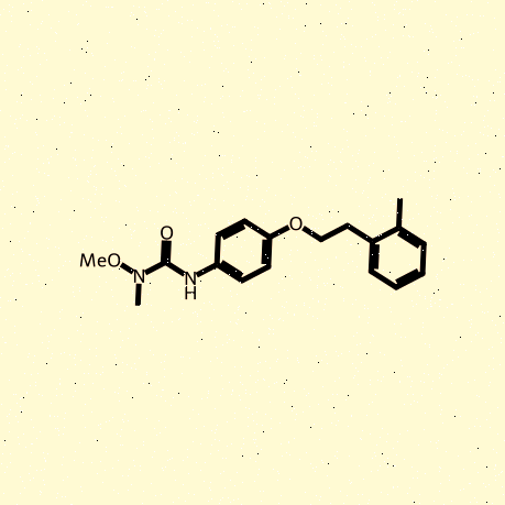 CON(C)C(=O)Nc1ccc(OCCc2ccccc2C)cc1